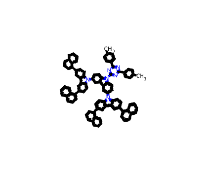 Cc1ccc(-c2nc(-c3ccc(C)cc3)nc(-n3c4ccc(-n5c6ccc(-c7cccc8ccccc78)cc6c6cc(-c7cccc8ccccc78)ccc65)cc4c4cc(-n5c6ccc(-c7cccc8ccccc78)cc6c6cc(-c7cccc8ccccc78)ccc65)ccc43)n2)cc1